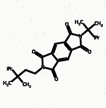 CC(C)C(C)(C)CCn1c(=O)c2cc3c(=O)n(C(C)(C)C(C)C)c(=O)c3cc2c1=O